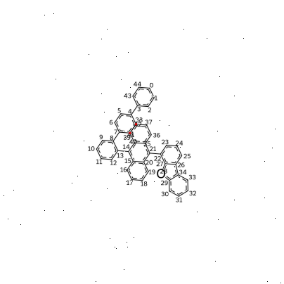 c1ccc(-c2ccc(-c3ccccc3-c3c4ccccc4c(-c4cccc5c4oc4ccccc45)c4ccccc34)cc2)cc1